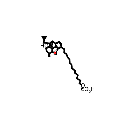 C=C1CC[C@@]2(O)C3Cc4ccc(CCCCCCCCCCCCCCOC(=O)O)c5c4[C@@]2(CCN3CC2CC2)[C@H]1O5